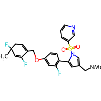 CNCc1cc(-c2ccc(OCC3=CCC(C)(F)C=C3F)cc2F)n(S(=O)(=O)c2cccnc2)c1